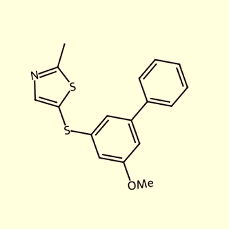 COc1cc(Sc2cnc(C)s2)cc(-c2ccccc2)c1